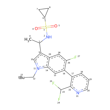 CC(NS(=O)(=O)C1CC1)c1cn(CC(C)(C)C)c2cc(-c3cccnc3C(F)F)c(F)cc12